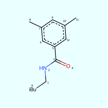 CCC(C)CNC(=O)c1cc(C)cc(C)c1